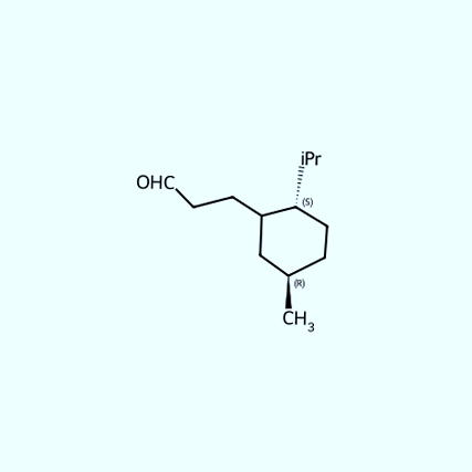 CC(C)[C@@H]1CC[C@@H](C)CC1CCC=O